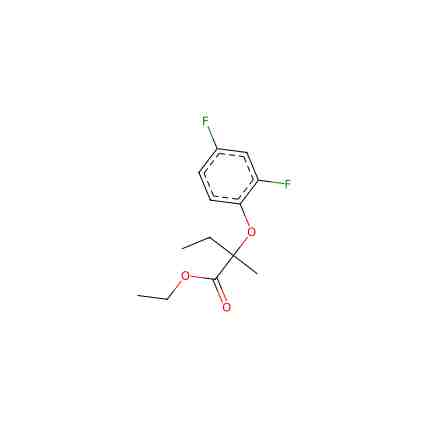 CCOC(=O)C(C)(CC)Oc1ccc(F)cc1F